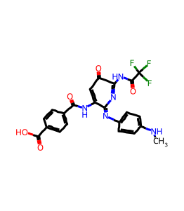 CNc1ccc(N=C2N=C(NC(=O)C(F)(F)F)C(=O)C=C2NC(=O)c2ccc(C(=O)O)cc2)cc1